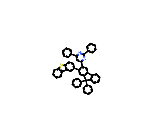 c1ccc(-c2cc(-c3cc4c(cc3-c3ccc5sc6ccccc6c5c3)C(c3ccccc3)(c3ccccc3)c3ccccc3-4)nc(-c3ccccc3)n2)cc1